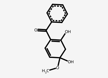 COC1(O)C=CC(C(=O)c2ccccc2)=C(O)C1